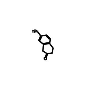 CCCc1ccc2c(c1)CC(=O)CC2